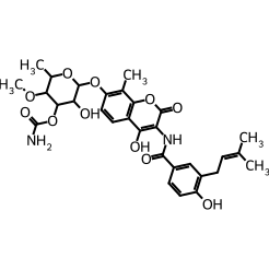 COC1C(C)OC(Oc2ccc3c(O)c(NC(=O)c4ccc(O)c(CC=C(C)C)c4)c(=O)oc3c2C)C(O)C1OC(N)=O